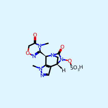 CN1C(=O)CON=C1[C@@H]1c2c(cnn2C)[C@@H]2CN1C(=O)N2OS(=O)(=O)O